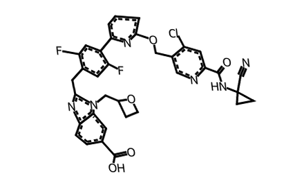 N#CC1(NC(=O)c2cc(Cl)c(COc3cccc(-c4cc(F)c(Cc5nc6ccc(C(=O)O)cc6n5CC5CCO5)cc4F)n3)cn2)CC1